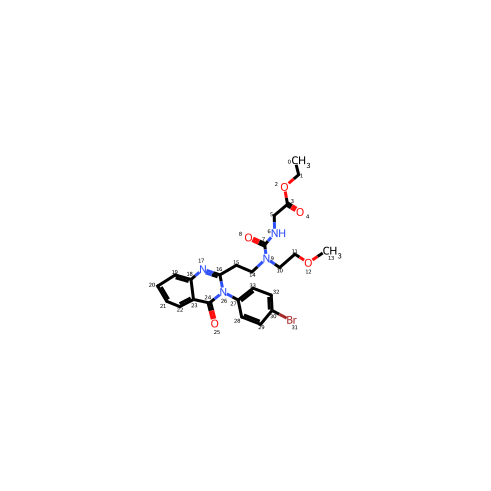 CCOC(=O)CNC(=O)N(CCOC)CCc1nc2ccccc2c(=O)n1-c1ccc(Br)cc1